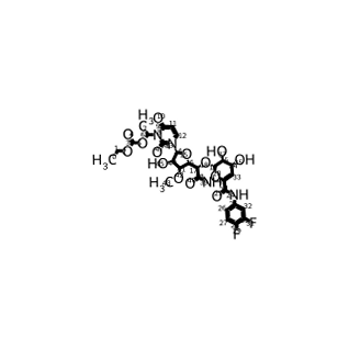 CCOC(=O)OC(C)n1c(=O)ccn([C@@H]2O[C@H]([C@@H](O[C@H]3OC(C(=O)Nc4ccc(F)c(F)c4)=C[C@H](O)[C@@H]3O)C(N)=O)[C@@H](OC)[C@H]2O)c1=O